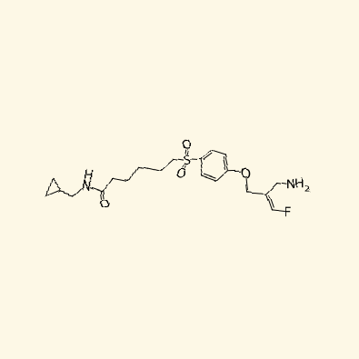 NC/C(=C\F)COc1ccc(S(=O)(=O)CCCCCC(=O)NCC2CC2)cc1